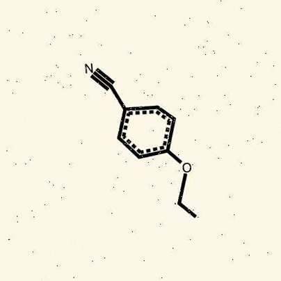 C[CH]Oc1ccc(C#N)cc1